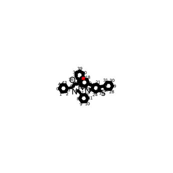 c1ccc(-c2nc(-c3ccccc3-n3c4ccccc4c4cc5c(cc43)sc3ccccc35)nc3c2oc2ccccc23)cc1